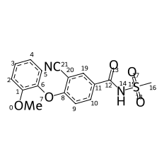 COc1ccccc1Oc1ccc(C(=O)NS(C)(=O)=O)cc1C#N